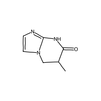 CC1Cn2ccnc2NC1=O